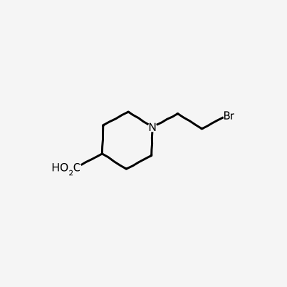 O=C(O)C1CCN(CCBr)CC1